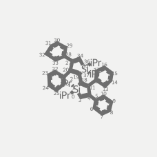 CC(C)[Si]1(C(C)C)C=C(c2ccccc2)C(c2ccccc2)=C1C1=C(c2ccccc2)C(c2ccccc2)=C[Si]1(C(C)C)C(C)C